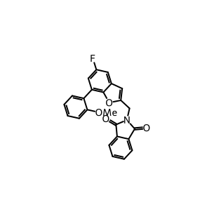 COc1ccccc1-c1cc(F)cc2cc(CN3C(=O)c4ccccc4C3=O)oc12